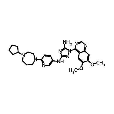 COc1cc2ncnc(-n3nc(Nc4ccc(N5CCCN(C6CCCC6)CC5)nc4)nc3N)c2cc1OC